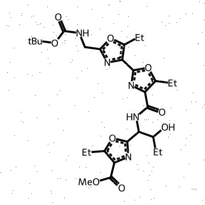 CCc1oc(-c2nc(CNC(=O)OC(C)(C)C)oc2CC)nc1C(=O)NC(c1nc(C(=O)OC)c(CC)o1)C(O)CC